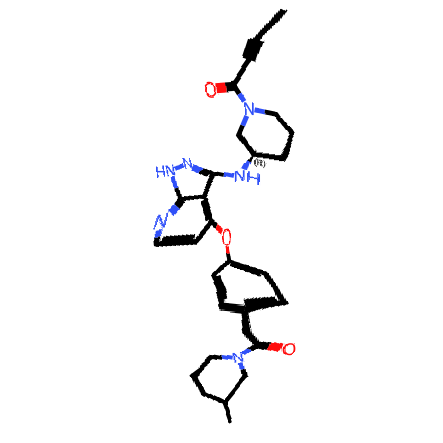 CC#CC(=O)N1CCC[C@@H](Nc2n[nH]c3nccc(Oc4ccc(C(=O)N5CCCC(C)C5)cc4)c23)C1